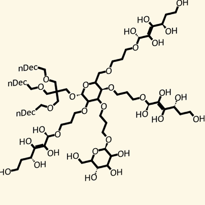 CCCCCCCCCCCOCC(COCCCCCCCCCCC)(COCCCCCCCCCCC)CO[C@@H]1OC(COCCCO[C@H](O)/C(O)=C(\O)[C@H](O)CCO)[C@@H](OCCCO[C@H](O)/C(O)=C(\O)[C@H](O)CCO)C(OCCCO[C@@H]2OC(CO)[C@@H](O)C(O)C2O)C1OCCCO[C@H](O)/C(O)=C(\O)[C@H](O)CCO